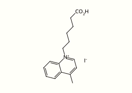 Cc1cc[n+](CCCCCC(=O)O)c2ccccc12.[I-]